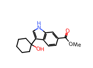 COC(=O)c1ccc2c(C3(O)CCCCC3)c[nH]c2c1